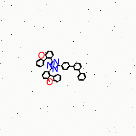 c1ccc(-c2cccc(-c3ccc(-c4nc(-c5cccc6oc7ccccc7c56)nc(-c5cccc6oc7ccccc7c56)n4)cc3)c2)cc1